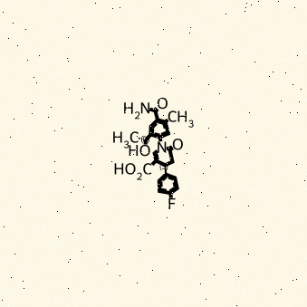 Cc1cc(N2C=C(C(=O)O)[C@H](c3ccc(F)cc3)CC2=O)c([C@@H](C)O)cc1C(N)=O